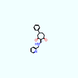 O=C1CCC(c2ccccc2)CC(=O)/C1=C\NCc1ccccn1